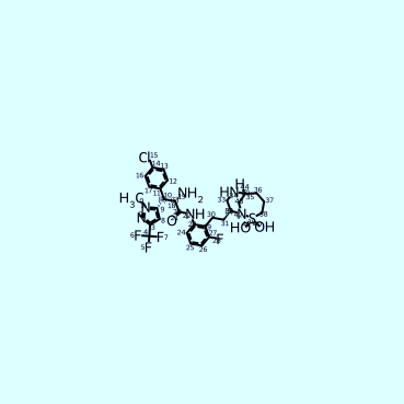 Cn1nc(C(F)(F)F)cc1[C@H](c1ccc(Cl)cc1)[C@H](N)C(=O)Nc1cccc(F)c1CC[C@H]1CN[C@@H]2CCCS(O)(O)N1C2